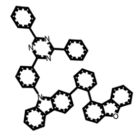 c1ccc(-c2nc(-c3ccccc3)nc(-c3cccc(-n4c5ccccc5c5ccc(-c6ccccc6-c6cccc7oc8ccccc8c67)cc54)c3)n2)cc1